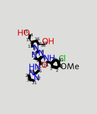 COc1ccc(CNc2nc(N3C[C@H](CCO)C[C@H]3CO)ncc2C(=O)NCc2ncccn2)cc1Cl